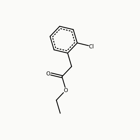 CCOC(=O)Cc1ccccc1Cl